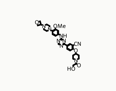 COc1cc(Nc2ncnc(-c3ccc(OC4CCN(C(=O)CO)CC4)c(C#N)c3)n2)ccc1N1CCN(C2COC2)CC1